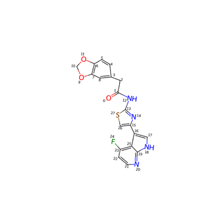 O=C(Cc1ccc2c(c1)OCO2)Nc1nc(-c2c[nH]c3nccc(F)c23)cs1